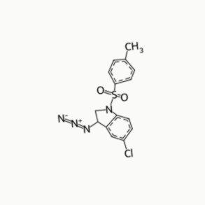 Cc1ccc(S(=O)(=O)N2CC(N=[N+]=[N-])c3cc(Cl)ccc32)cc1